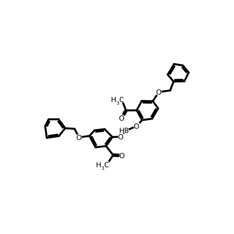 CC(=O)c1cc(OCc2ccccc2)ccc1OBOc1ccc(OCc2ccccc2)cc1C(C)=O